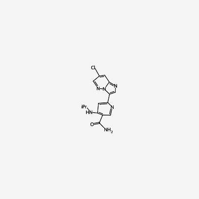 CC(C)Nc1cc(-c2cnc3cc(Cl)cnn23)ncc1C(N)=O